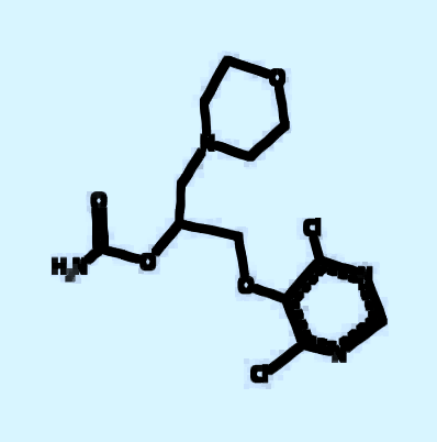 NC(=O)OC(COc1c(Cl)ncnc1Cl)CN1CCOCC1